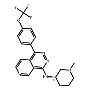 CN1CCC[C@@H](Nc2nnc(-c3ccc(OC(F)(F)F)cc3)c3ccncc23)C1